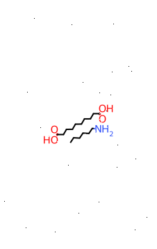 CCCCCCN.O=C(O)CCCCCCCCC(=O)O